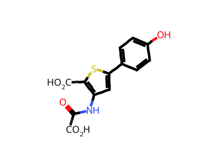 O=C(O)C(=O)Nc1cc(-c2ccc(O)cc2)sc1C(=O)O